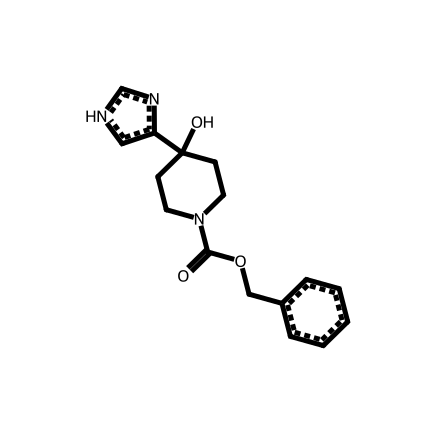 O=C(OCc1ccccc1)N1CCC(O)(c2c[nH]cn2)CC1